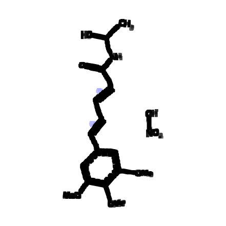 COc1cc(/C=C/C=C/C(=O)NC(C)O)cc(OC)c1OC.O=[N+]([O-])O